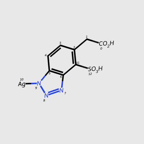 O=C(O)Cc1ccc2c(nn[n]2[Ag])c1S(=O)(=O)O